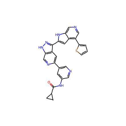 O=C(Nc1cncc(-c2cc3c(-c4cc5c(-c6cccs6)cncc5[nH]4)n[nH]c3cn2)c1)C1CC1